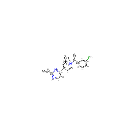 C=C/C=C(\C=C/N(C)C(CC)c1cccc(F)c1)c1ccnc(NC)n1